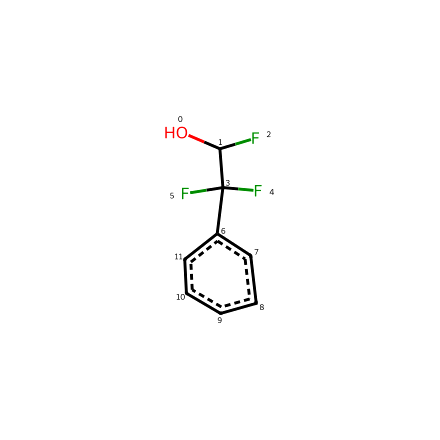 OC(F)C(F)(F)c1ccccc1